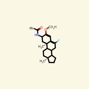 CC(C)(C)C(=O)NC1C[C@@]2(C)C(=C(F)CC3C4CCC[C@@]4(C)CCC32)C=C1OC(=O)O